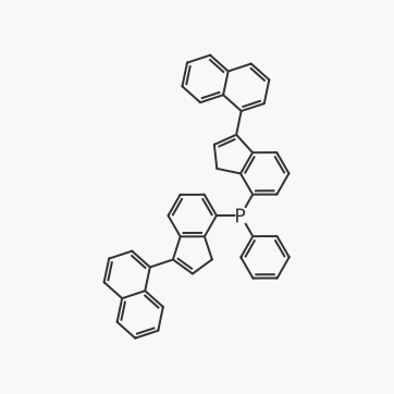 C1=C(c2cccc3ccccc23)c2cccc(P(c3ccccc3)c3cccc4c3CC=C4c3cccc4ccccc34)c2C1